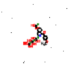 COc1ccc(C(=O)C2=NCCC3=C2CCCC3)cc1.OB(O)F.OB(O)F.OB(O)F.OB(O)F